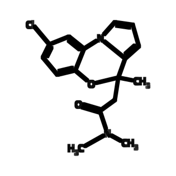 CN(C)C(=O)CC1(C)Oc2ccc(Cl)cc2-n2cccc21